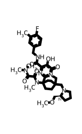 COC[C@@H]1CCCN1CC12CCC(N(C)C(=O)C(=O)N(C)C)(CC1)c1nc(C(=O)NCc3ccc(F)c(C)c3)c(O)c(=O)n1C2